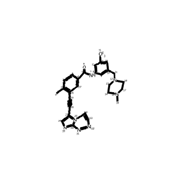 Cc1ccc(C(=O)Nc2cc(CN3CCN(C)CC3)cc(C(F)(F)F)c2)cc1C#Cc1cnc2nnccn12